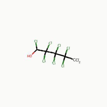 OC(Cl)C(Cl)(Cl)C(Cl)(Cl)C(Cl)(Cl)C(Cl)(Cl)Cl